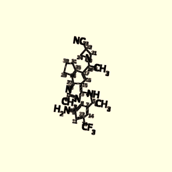 Cc1nc(NC(C)c2cc(N)cc(C(F)(F)F)c2)c2cc(C(C)N3CC(C#N)C3)c3c(c2n1)CCC3